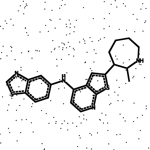 CC1NCCCCC1c1cc2c(Nc3ccc4scnc4c3)ccnc2s1